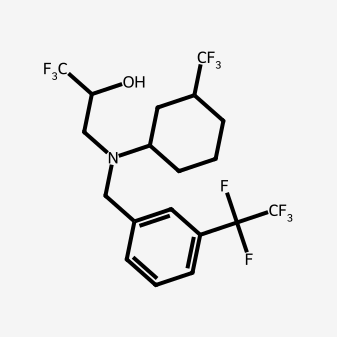 OC(CN(Cc1cccc(C(F)(F)C(F)(F)F)c1)C1CCCC(C(F)(F)F)C1)C(F)(F)F